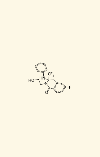 O=C1c2ccc(F)cc2CC(Nc2ccccc2)(C(F)(F)F)N1CCO